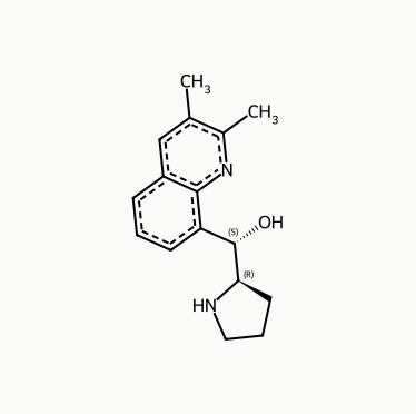 Cc1cc2cccc([C@H](O)[C@H]3CCCN3)c2nc1C